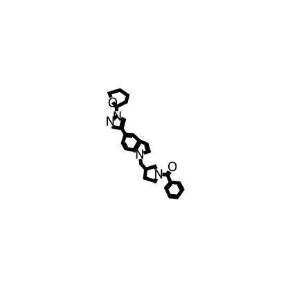 O=C(c1ccccc1)N1CCC(Cn2ccc3cc(-c4cnn(C5CCCCO5)c4)ccc32)C1